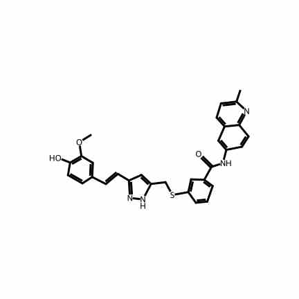 COc1cc(/C=C/c2cc(CSc3cccc(C(=O)Nc4ccc5nc(C)ccc5c4)c3)[nH]n2)ccc1O